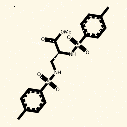 COC(=O)[C@H](CNS(=O)(=O)c1ccc(C)cc1)NS(=O)(=O)c1ccc(C)cc1